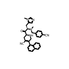 CN(Cc1ccc(C#N)cc1)[C@H](Cc1cncn1C)C(=O)C1CC(C#N)=C(c2cccc3ccccc23)CN1